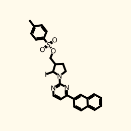 Cc1ccc(S(=O)(=O)OCC2CCN(c3nccc(-c4ccc5ccccc5c4)n3)C2I)cc1